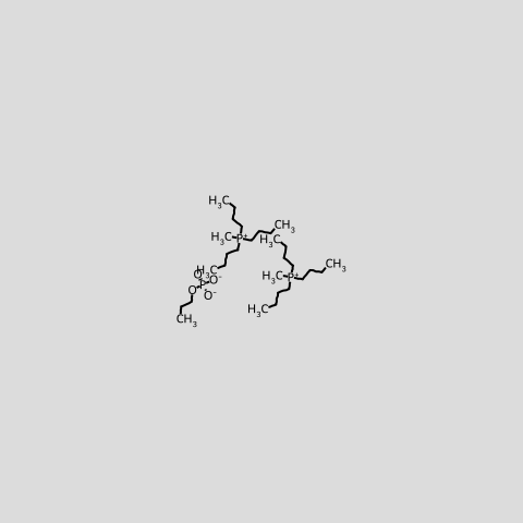 CCCC[P+](C)(CCCC)CCCC.CCCC[P+](C)(CCCC)CCCC.CCCOP(=O)([O-])[O-]